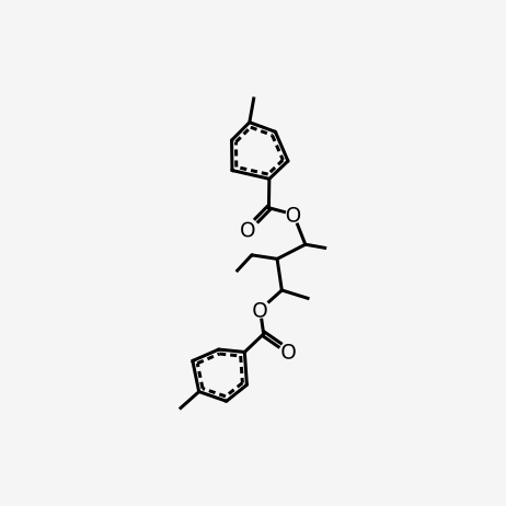 CCC(C(C)OC(=O)c1ccc(C)cc1)C(C)OC(=O)c1ccc(C)cc1